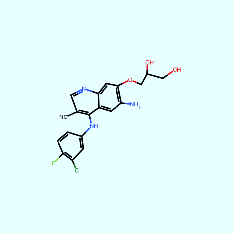 N#Cc1cnc2cc(OCC(O)CO)c(N)cc2c1Nc1ccc(F)c(Cl)c1